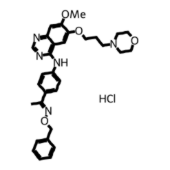 COc1cc2ncnc(Nc3ccc(C(C)=NOCc4ccccc4)cc3)c2cc1OCCCN1CCOCC1.Cl